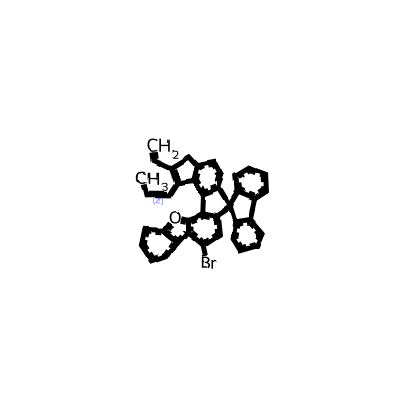 C=CC1=C(/C=C\C)c2c(ccc3c2-c2c(cc(Br)c4c2oc2ccccc24)C32c3ccccc3-c3ccccc32)C1